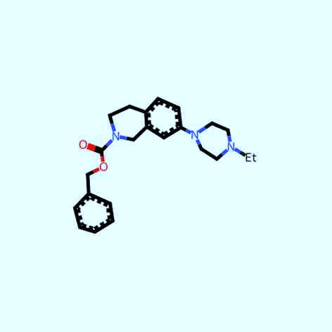 CCN1CCN(c2ccc3c(c2)CN(C(=O)OCc2ccccc2)CC3)CC1